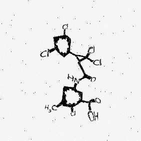 Cc1cc(NC(=O)C2C(c3cc(Cl)cc(Cl)c3)C2(Cl)Cl)cc(C(=O)O)c1Cl